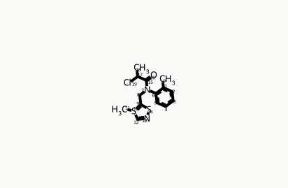 Cc1ccccc1N(CC1=S(C)C=NS1)C(=O)C(C)Cl